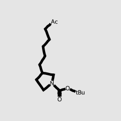 CC(=O)CCCCCC1CCN(C(=O)OC(C)(C)C)C1